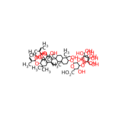 C/C=C(/C)C(=O)O[C@H]1[C@H](OC(=O)/C(C)=C\C)[C@@]2(CO)C(CC1(C)C)C1=CCC3[C@@]4(C)CC[C@H](O[C@@H]5OC(C(=O)O)[C@@H](O)C(OC6O[C@@H](CO)[C@@H](O)C6O)[C@@H]5O[C@@H]5OC(CO)[C@@H](O)C(O)[C@@H]5O)[C@](C)(CO)C4CC[C@@]3(C)[C@]1(C)[C@@H](O)[C@H]2O